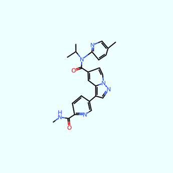 CNC(=O)c1ccc(-c2cnn3ccc(C(=O)N(c4ccc(C)cn4)C(C)C)cc23)cn1